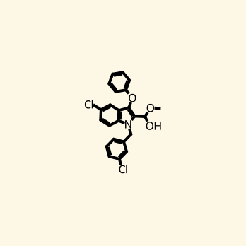 COC(O)c1c(Oc2ccccc2)c2cc(Cl)ccc2n1Cc1cccc(Cl)c1